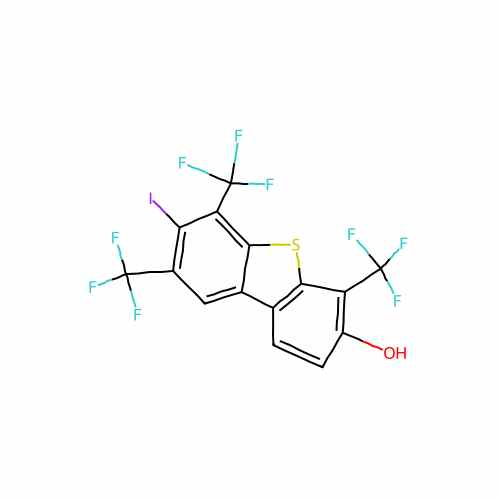 Oc1ccc2c(sc3c(C(F)(F)F)c(I)c(C(F)(F)F)cc32)c1C(F)(F)F